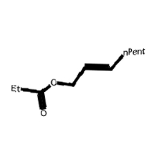 CCCCC/C=C/COC(=O)CC